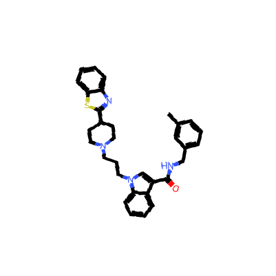 Cc1cccc(CNC(=O)c2cn(CCCN3CCC(c4nc5ccccc5s4)CC3)c3ccccc23)c1